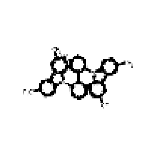 N#Cc1ccc(-n2c3ccc(C(F)(F)F)cc3c3cc(C(F)(F)F)ccc32)c(-c2c(-n3c4ccc(C(F)(F)F)cc4c4cc(C(F)(F)F)ccc43)cccc2C(F)(F)F)c1